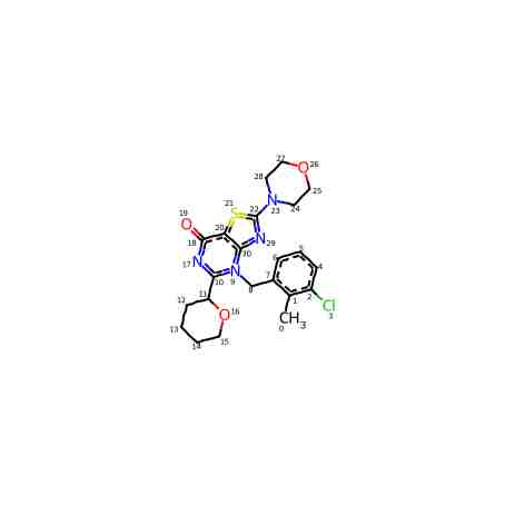 Cc1c(Cl)cccc1Cn1c(C2CCCCO2)nc(=O)c2sc(N3CCOCC3)nc21